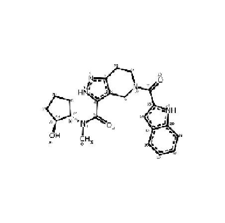 CN(C(=O)c1[nH]nc2c1CN(C(=O)c1cc3ccccc3[nH]1)CC2)[C@H]1CCC[C@@H]1O